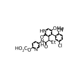 CCC(C(=O)Nc1ccc(OC(=O)O)nc1)c1c(-c2cc(Cl)ccc2C#N)c(OC)c[nH]c1=O